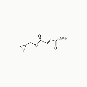 COC(=O)C=CC(=O)OCC1CO1